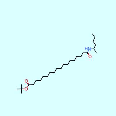 CCCCC(C)NC(=O)CCCCCCCCCCCCCCCCC(=O)OC(C)(C)C